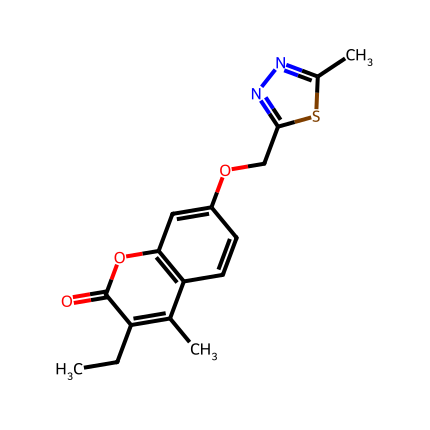 CCc1c(C)c2ccc(OCc3nnc(C)s3)cc2oc1=O